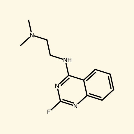 CN(C)CCNc1nc(F)nc2ccccc12